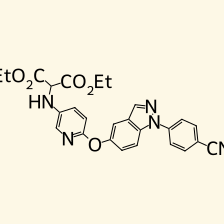 CCOC(=O)C(Nc1ccc(Oc2ccc3c(cnn3-c3ccc(C#N)cc3)c2)nc1)C(=O)OCC